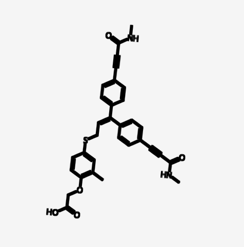 CNC(=O)C#Cc1ccc(C(=CCSc2ccc(OCC(=O)O)c(C)c2)c2ccc(C#CC(=O)NC)cc2)cc1